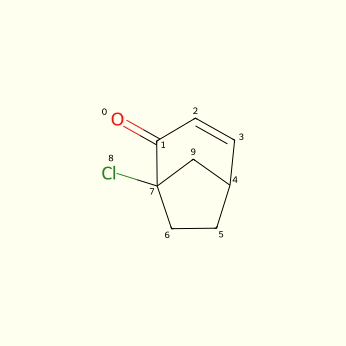 O=C1C=CC2CCC1(Cl)C2